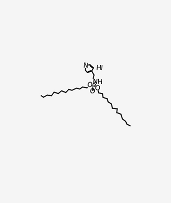 CCCCCCCCCCCCCCOP(=O)(NCCC1=CCN(C)C=C1)OCCCCCCCCCCCCCC.I